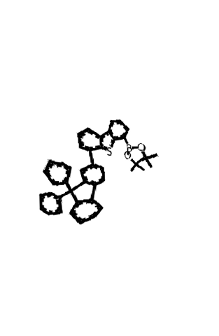 CC1(C)OB(c2cccc3c2sc2c(-c4ccc5c(c4)C(c4ccccc4)(c4ccccc4)c4ccccc4-5)cccc23)OC1(C)C